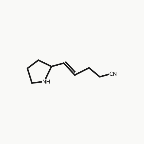 N#CCCC=CC1CCCN1